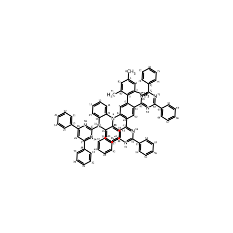 Cc1cc(C)c(-c2cc(N3c4ccccc4N(c4nc(-c5ccccc5)cc(-c5ccccc5)n4)c4ccccc43)c(-c3cc(-c4ccccc4)nc(-c4ccccc4)n3)cc2-c2nc(-c3ccccc3)nc(-c3ccccc3)n2)c(C)c1